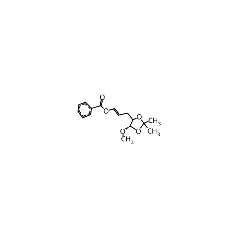 CO[C@@H]1OC(C)(C)OC1C/C=C/OC(=O)c1ccccc1